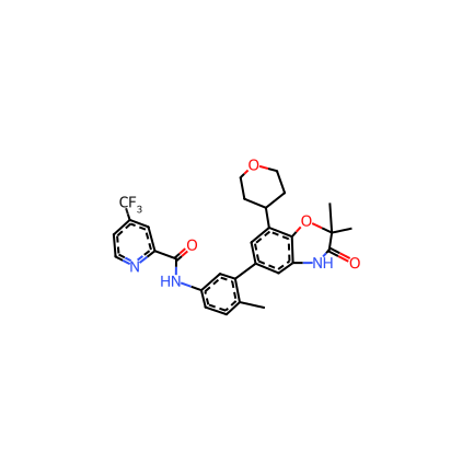 Cc1ccc(NC(=O)c2cc(C(F)(F)F)ccn2)cc1-c1cc2c(c(C3CCOCC3)c1)OC(C)(C)C(=O)N2